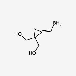 B/C=C1\CC1(CO)CO